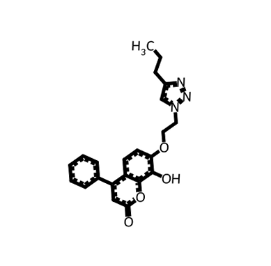 CCCc1cn(CCOc2ccc3c(-c4ccccc4)cc(=O)oc3c2O)nn1